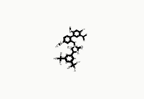 [C-]#[N+]c1ccc(-c2cc(C(C)C)c(F)cc2OC)c(CN2C(=O)OC(c3cc(C(F)(F)F)cc(C(F)(F)F)c3)[C@@H]2C)c1